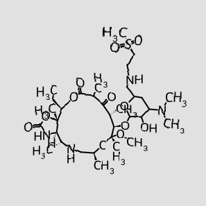 CC[C@H]1OC(=O)C(C)C(=O)[C@H](C)[C@@H](OC2OC(CNCCS(C)(=O)=O)CC(N(C)C)C2O)[C@](C)(OC)C[C@@H](C)CN[C@H](C)[C@H]2NC(=O)O[C@@]21C